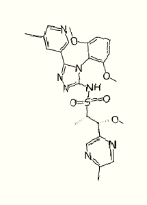 COc1cccc(OC)c1-n1c(NS(=O)(=O)[C@@H](C)[C@H](OC)c2cnc(C)cn2)nnc1-c1cncc(C)c1